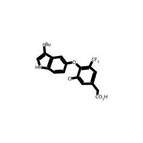 CCCCc1c[nH]c2ccc(Oc3c(Cl)cc(CC(=O)O)cc3C(F)(F)F)cc12